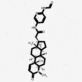 CN1C(=O)C=C[C@]2(C)[C@H]3CC[C@]4(C)[C@@H](CC(=O)Nc5ccc(NC=O)nc5)CC[C@H]4[C@@H]3CC[C@@H]12